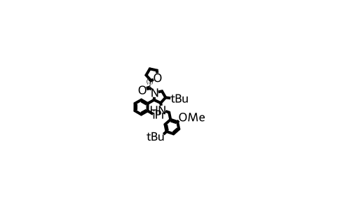 COc1ccc(C(C)(C)C)cc1CNC1C(c2ccccc2C(C)C)N(C(=O)[C@@H]2CCCO2)CC1C(C)(C)C